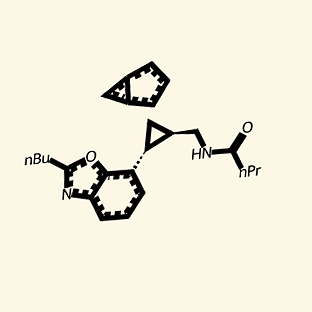 CCCCc1nc2cccc([C@@H]3C[C@H]3CNC(=O)CCC)c2o1.c1cc2cc-2c1